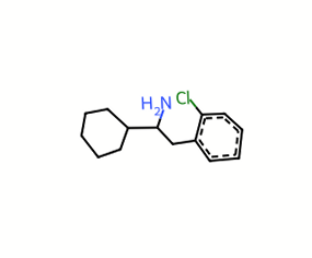 NC(Cc1ccccc1Cl)C1CCCCC1